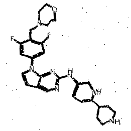 Fc1cc(-n2ccc3cnc(NC4=CC=C(C5CCNCC5)NC4)nc32)cc(F)c1CN1CCOCC1